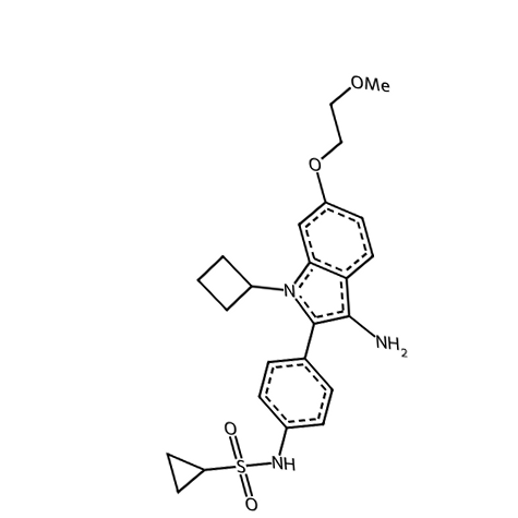 COCCOc1ccc2c(N)c(-c3ccc(NS(=O)(=O)C4CC4)cc3)n(C3CCC3)c2c1